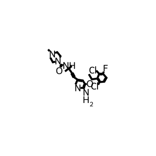 CC(Oc1cc(C#CC(C)(C)NC(=O)N2CCN(C)CC2)cnc1N)c1c(Cl)ccc(F)c1Cl